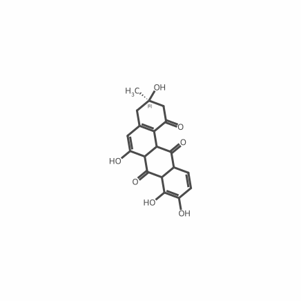 C[C@]1(O)CC(=O)C2=C(C=C(O)C3C(=O)C4C(O)=C(O)C=CC4C(=O)C23)C1